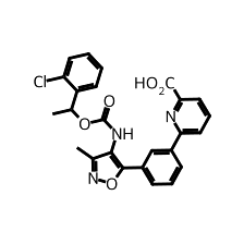 Cc1noc(-c2cccc(-c3cccc(C(=O)O)n3)c2)c1NC(=O)OC(C)c1ccccc1Cl